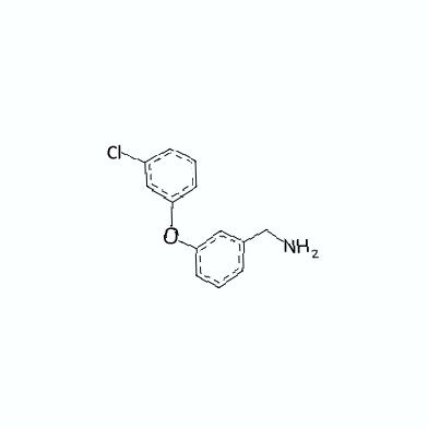 NCc1cccc(Oc2cccc(Cl)c2)c1